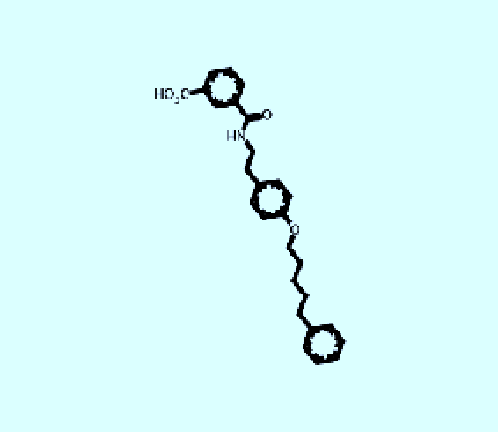 O=C(O)c1cccc(C(=O)NCCc2ccc(OCCCCCc3ccccc3)cc2)c1